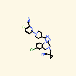 N#Cc1nc(N2CCC(c3nnc4n3-c3ccc(Cl)cc3CN(CC3(C#N)CC3)C4)CC2)ccc1F